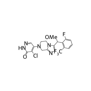 COC(c1c(F)cccc1C(F)(F)F)c1cnc2n1CCN(c1cn[nH]c(=O)c1Cl)C2